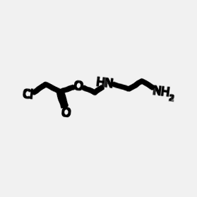 NCCNCOC(=O)CCl